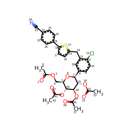 CC(=O)OC[C@H]1O[C@@H](c2ccc(Cl)c(Cc3ccc(-c4ccc(C#N)cc4)s3)c2)[C@H](OC(C)=O)[C@@H](OC(C)=O)[C@@H]1OC(C)=O